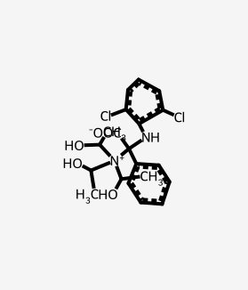 CC(O)[N+](C(C)O)(C(C)O)C(Nc1c(Cl)cccc1Cl)(C(=O)[O-])c1ccccc1